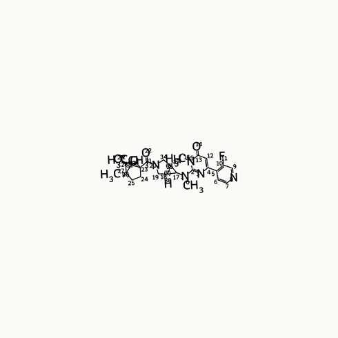 CN(c1nc(-c2ccncc2F)cc(=O)n1C)C1[C@H]2CN(C(=O)C34CC[C@@](C)(C(=O)O3)C4(C)C)C[C@@H]12